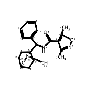 Cc1noc(C)c1C(=O)NC(c1ccccc1)C12CCC(CC1)CN2C